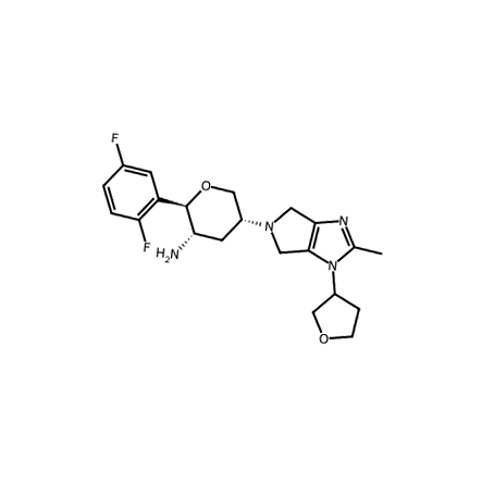 Cc1nc2c(n1C1CCOC1)CN([C@H]1CO[C@H](c3cc(F)ccc3F)[C@@H](N)C1)C2